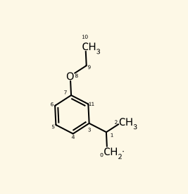 [CH2]C(C)c1cccc(OCC)c1